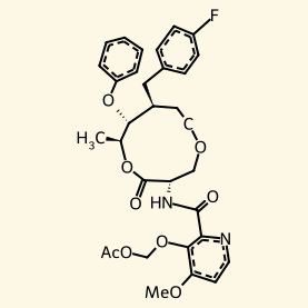 COc1ccnc(C(=O)N[C@H]2COCC[C@H](Cc3ccc(F)cc3)[C@@H](Oc3ccccc3)[C@H](C)OC2=O)c1OCOC(C)=O